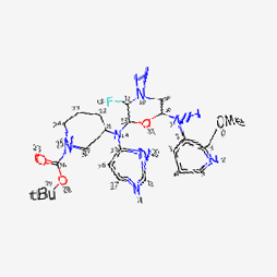 COc1ncccc1NC1CNC(F)C(N(c2ccncn2)C2CCCN(C(=O)OC(C)(C)C)C2)O1